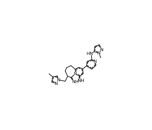 Cc1cnn(CC2CCCc3cc(-c4ccnc(Nc5ccnn5C)c4)cc(=N)n3C2=N)c1